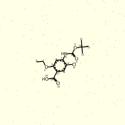 CCOc1cc(NC(=O)OC(C)(C)C)c(Cl)cc1C(=O)O